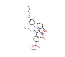 CCCCOc1ccc(-n2nc(C(=O)O)c(-c3ccc(C(=O)OC(C)(C)C)cc3C(=O)N3CCc4ccccc4C3)c2CCCC)cc1